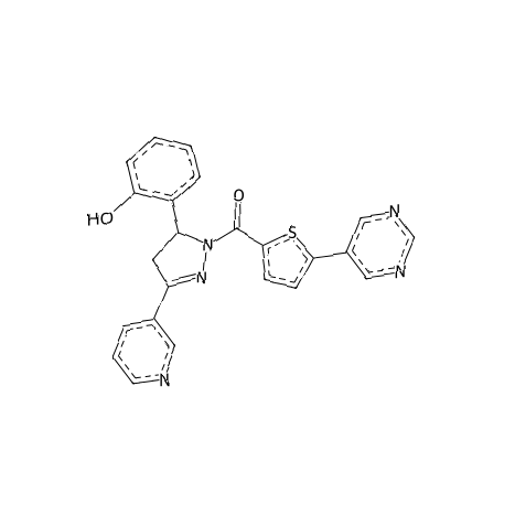 O=C(c1ccc(-c2cncnc2)s1)N1N=C(c2cccnc2)CC1c1ccccc1O